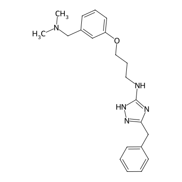 CN(C)Cc1cccc(OCCCNc2nc(Cc3ccccc3)n[nH]2)c1